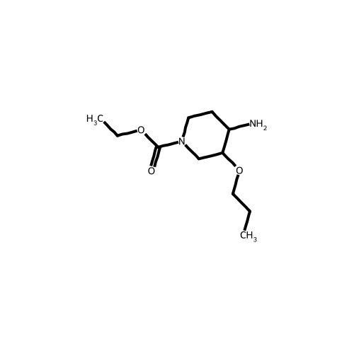 CCCOC1CN(C(=O)OCC)CCC1N